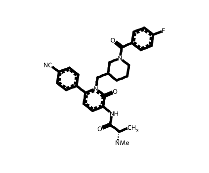 CN[C@@H](C)C(=O)Nc1ccc(-c2ccc(C#N)cc2)n(CC2CCCN(C(=O)c3ccc(F)cc3)C2)c1=O